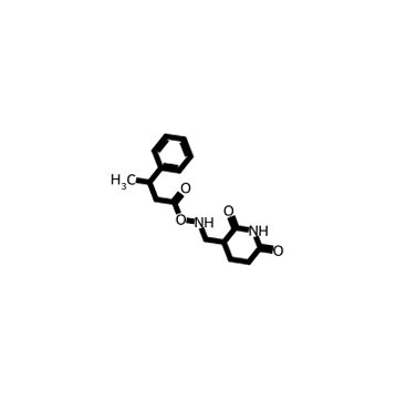 CC(CC(=O)ONCC1CCC(=O)NC1=O)c1ccccc1